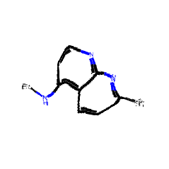 CCCc1ccc2c(NCC)ccnc2n1